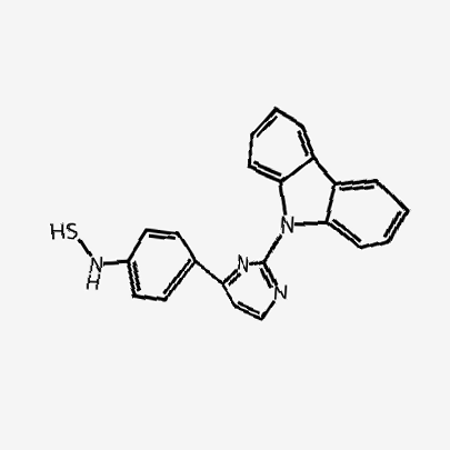 SNc1ccc(-c2ccnc(-n3c4ccccc4c4ccccc43)n2)cc1